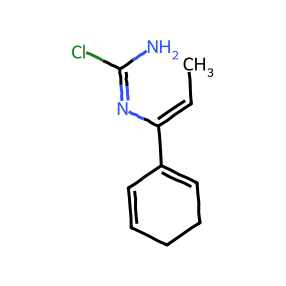 C/C=C(\N=C(/N)Cl)C1=CCCC=C1